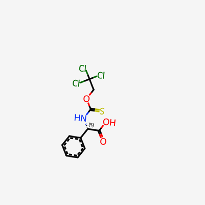 O=C(O)[C@@H](NC(=S)OCC(Cl)(Cl)Cl)c1ccccc1